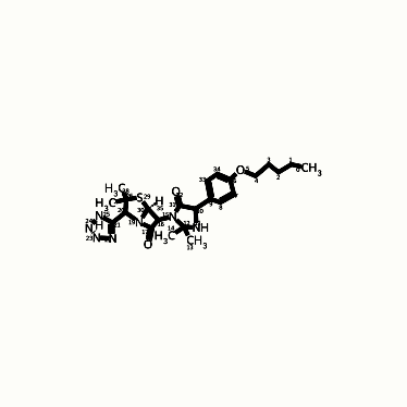 CCCCCOc1ccc(C2NC(C)(C)N(C3C(=O)N4C(c5nnn[nH]5)C(C)(C)S[C@@H]34)C2=O)cc1